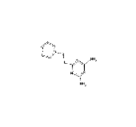 Nc1nc(N)nc(CSc2ccccc2)n1